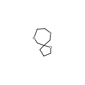 C1COC2(C1)COCCSC2